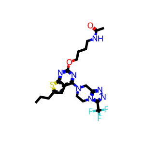 CCCc1cc2c(N3CCn4c(nnc4C(F)(F)F)C3)nc(OCCCCNC(C)=O)nc2s1